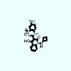 Nc1ccc2c(c1)S(=O)(=O)N=C(c1c(O)c3ccccc3n(NC3CCC3)c1=O)N2